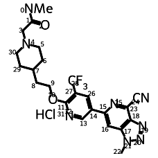 CNC(=O)CN1CCC(CCOc2ncc(-c3cc4c(nnn4C)c(C#N)n3)cc2C(F)(F)F)CC1.Cl